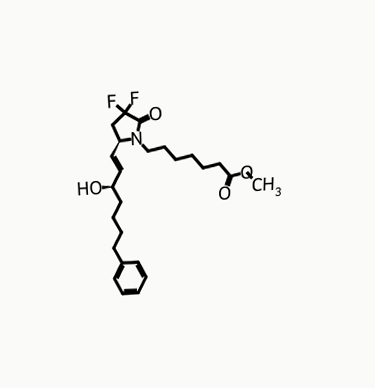 COC(=O)CCCCCCN1C(=O)C(F)(F)C[C@@H]1/C=C/[C@H](O)CCCCc1ccccc1